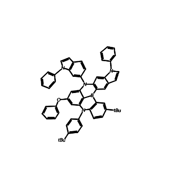 CC(C)(C)c1ccc(N2c3ccc(C(C)(C)C)cc3B3c4cc5ccn(-c6ccccc6)c5cc4N(c4ccc5ccn(-c6ccccc6)c5c4)c4cc(Oc5ccccc5)cc2c43)cc1